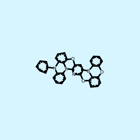 c1ccc(N2c3ccccc3B3c4nc5c(cc4Oc4cccc2c43)B2c3ccccc3Oc3cccc(c32)O5)cc1